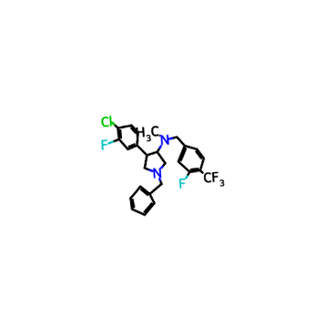 CN(Cc1ccc(C(F)(F)F)c(F)c1)C1CN(Cc2ccccc2)CC1c1ccc(Cl)c(F)c1